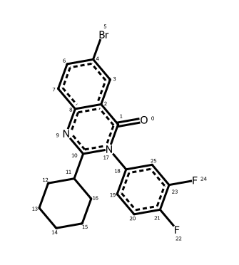 O=c1c2cc(Br)ccc2nc(C2CCCCC2)n1-c1ccc(F)c(F)c1